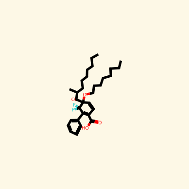 CCCCCCCCOC1(C(=O)C(C)CCCCCCC)C=CC(C(=O)O)=C(c2ccccc2)C1(F)F